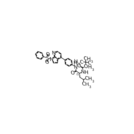 CC(C)C[C@H](NC(=O)OC(C)(C)C)C(=O)Nc1ccc(-c2ccnc3c2ccn3S(=O)(=O)c2ccccc2)cc1